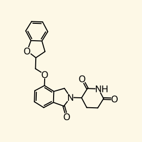 O=C1CCC(N2Cc3c(OCC4Cc5ccccc5O4)cccc3C2=O)C(=O)N1